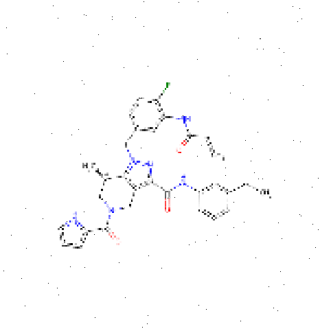 C=CC(=O)Nc1cc(Cn2nc(C(=O)Nc3cccc(CC)c3)c3c2[C@H](C)CN(C(=O)c2ccc[nH]2)C3)ccc1F